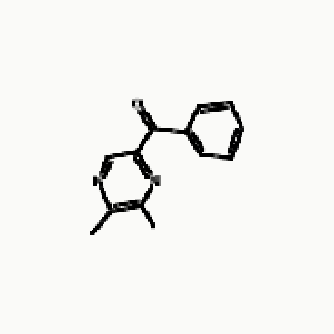 Cc1ncc(C(=O)c2ccccc2)nc1C